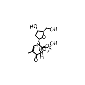 Cc1cn([C@H]2C[C@H](O)[C@@H](CO)O2)c(=O)[nH]c1=O.O=S(=O)(O)O